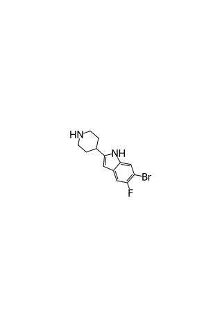 Fc1cc2cc(C3CCNCC3)[nH]c2cc1Br